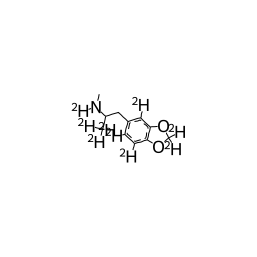 [2H]c1c([2H])c2c(c([2H])c1CC(N([2H])C)C([2H])([2H])[2H])OC([2H])([2H])O2